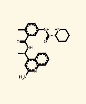 Cc1ccc(NC(=O)[C@H]2CCCCN2)cc1C(=O)N[C@H](C)c1cc(N)nc2ccccc12